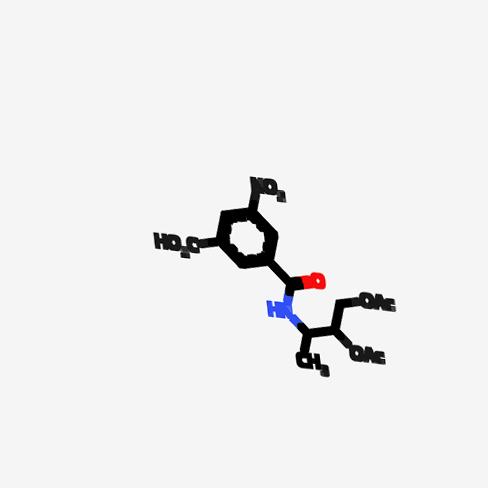 CC(=O)OCC(OC(C)=O)C(C)NC(=O)c1cc(C(=O)O)cc([N+](=O)[O-])c1